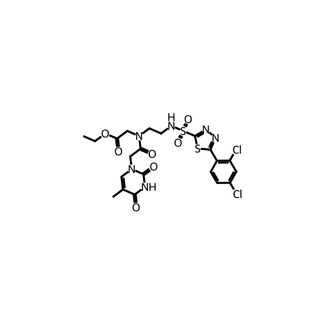 CCOC(=O)CN(CCNS(=O)(=O)c1nnc(-c2ccc(Cl)cc2Cl)s1)C(=O)Cn1cc(C)c(=O)[nH]c1=O